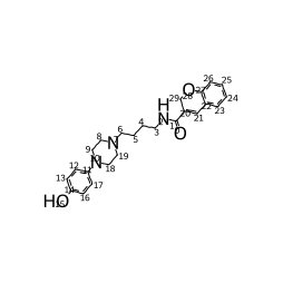 O=C(NCCCCN1CCN(c2ccc(O)cc2)CC1)C1=Cc2ccccc2OC1